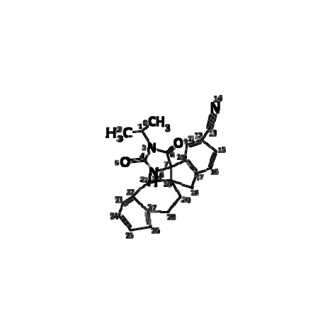 CC(C)N1C(=O)NC2(C1=O)c1cc(C#N)ccc1CC21CCc2ccccc2CC1